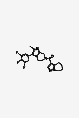 Cn1nc2c(c1-c1cc(F)c(F)c(F)c1)CCN(C(=O)c1cnn3c1CCCC3)C2